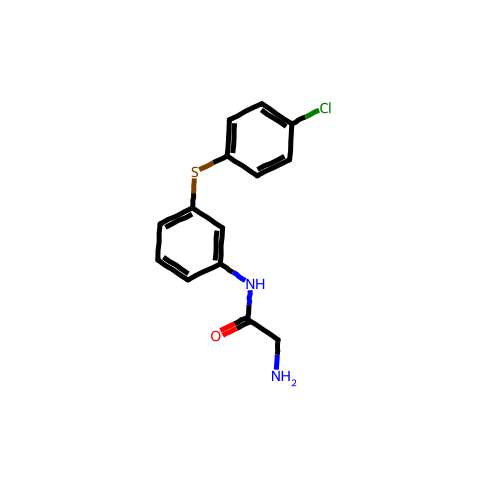 NCC(=O)Nc1cccc(Sc2ccc(Cl)cc2)c1